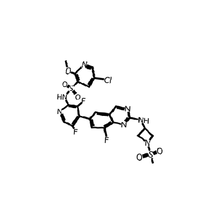 COc1ncc(Cl)cc1S(=O)(=O)Nc1ncc(F)c(-c2cc(F)c3nc(NC4CN(S(C)(=O)=O)C4)ncc3c2)c1F